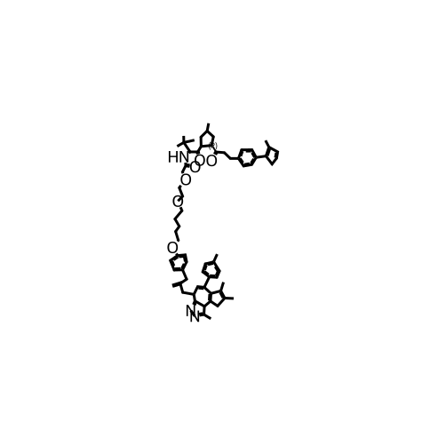 C=C(Cc1ccc(OCCCCCOCCOCC(=O)NC(C(=O)C2CC(C)C[C@H]2C(=O)CCc2ccc(C3=C(C)C=CC3)cc2)C(C)(C)C)cc1)CC1C=C(c2ccc(C)cc2)C2=C(CC(C)=C2C)C2C(C)=NN=C12